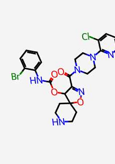 O=C(Nc1ccccc1Br)OC1C(C(=O)N2CCN(c3ncccc3Cl)CC2)=NOC12CCNCC2